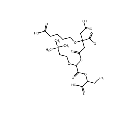 CCC(OC(=O)C(OCC[N+](C)(C)C)OC(=O)CC(CC(=O)O)(OCCCCC(=O)O)C(=O)[O-])C(=O)O